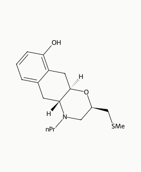 CCCN1C[C@H](CSC)O[C@@H]2Cc3c(O)cccc3C[C@H]21